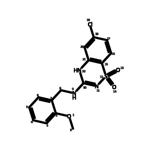 COc1ccccc1CNC1=NS(=O)(=O)c2ccc(Cl)cc2N1